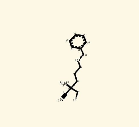 N#CC(N)(CF)CCCOCc1ccccc1